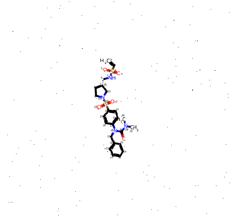 C=CS(=O)(=O)NC[C@H]1CCN(S(=O)(=O)c2ccc(N(Cc3ccccc3)C(=O)N(C)C)cc2)C1